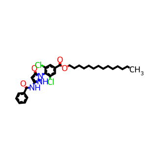 CCCCCCCCCCCCCCOC(=O)c1cc(Cl)c(-n2[nH]c(NC(=O)c3ccccc3)cc2=O)c(Cl)c1